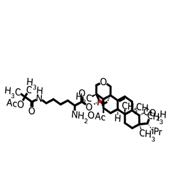 CC(=O)O[C@@H]1C[C@@]23COC[C@](C)([C@@H]2CC[C@H]2C3=CC[C@@]3(C)[C@H](C(=O)O)[C@@](C)([C@H](C)C(C)C)CC[C@]23C)[C@H]1OC(=O)C(N)CCCCNC(=O)C(C)(C)OC(C)=O